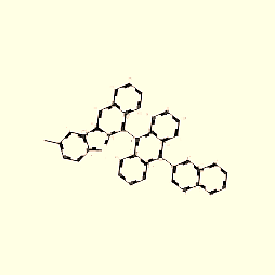 Cc1ccc2oc3c(-c4c5ccccc5c(-c5ccc6ccccc6c5)c5ccccc45)c4ccccc4cc3c2c1